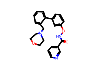 O=C(NOc1cccc(-c2ccccc2CN2CCOCC2)c1)c1cccnc1